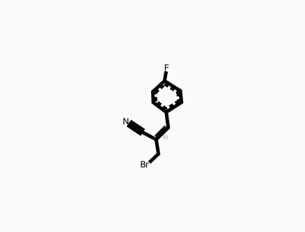 N#C/C(=C\c1ccc(F)cc1)CBr